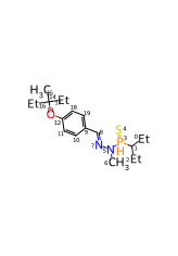 CCC(CC)[PH](=S)N(C)/N=C/c1ccc(OC(C)(CC)CC)cc1